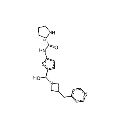 O=C(Nc1ccc(C(O)N2CC(Cc3ccncc3)C2)s1)[C@@H]1CCCN1